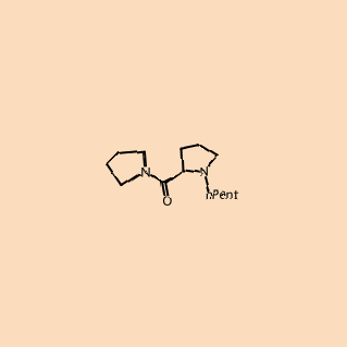 CCCCCN1CCC[C@@H]1C(=O)N1CCCC1